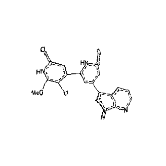 COc1[nH]c(=O)cc(-c2cc(-c3c[nH]c4ncccc34)cc(=O)[nH]2)c1Cl